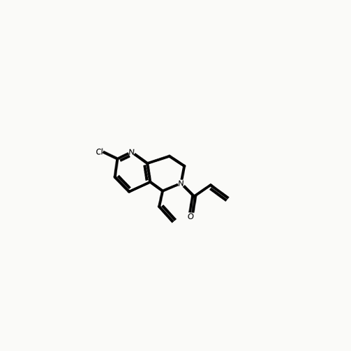 C=CC(=O)N1CCc2nc(Cl)ccc2C1C=C